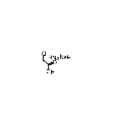 O=C(O)CCl.[NaH].[NaH]